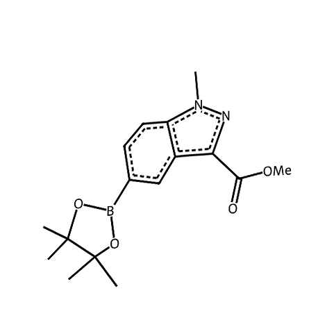 COC(=O)c1nn(C)c2ccc(B3OC(C)(C)C(C)(C)O3)cc12